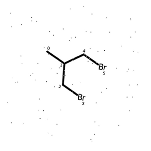 CC(CBr)CBr